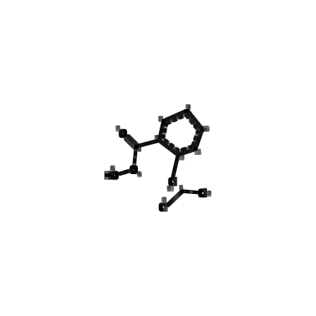 ClCCl.O=C(OO)c1ccccc1Cl